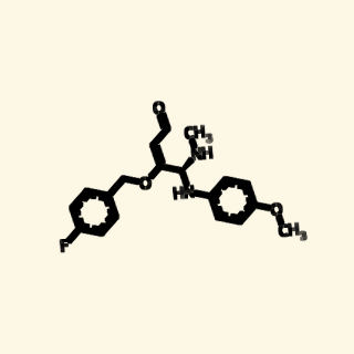 CN[C@@H](Nc1ccc(OC)cc1)/C(=C\C=O)OCc1ccc(F)cc1